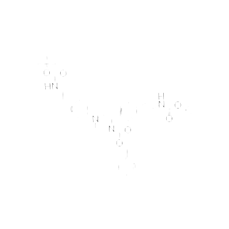 CC(C)(C)OC(=O)NCCc1ccc(C2CN(c3ccc(CCNC(=O)OC(C)(C)C)cc3)CCN2C(=O)OCc2ccccc2)cc1